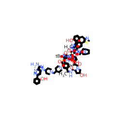 CNc1nn(C2CC3CCC(C2)N3CCOc2cc(C(C(=O)N3C[C@H](O)C[C@H]3C(=O)N[C@@H](C)c3ccc(-c4scnc4C)cc3)C(C)C)on2)c2cc(-c3cc(Cc4ncsc4-c4ccc([C@H](C)NC(=O)[C@@H]5C[C@@H](O)CN5C(=O)[C@@H](NC(=O)CN5CCC(CN6CCC(n7nc(N)c8nnc(-c9ccccc9O)cc87)CC6)CC5)C(C)(C)C)cc4)ccc3O)nnc12